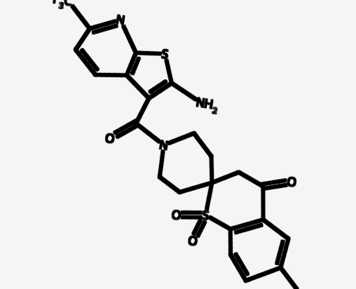 Cc1ccc2c(c1)C(=O)CC1(CCN(C(=O)c3c(N)sc4nc(C(F)(F)F)ccc34)CC1)S2(=O)=O